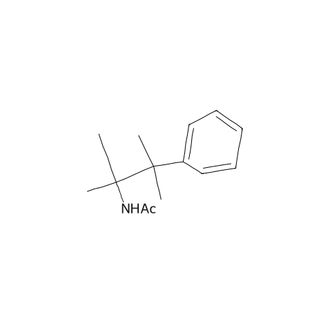 CC(=O)NC(C)(C)C(C)(C)c1ccccc1